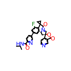 CC(C)NC(=O)c1ccc(-c2ccc(C3(C(=O)N4CC[C@@]5(C4)OC(=O)c4cnccc45)CC3)c(F)c2)cn1